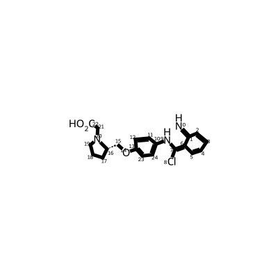 N=C1C=CC=C/C1=C(\Cl)Nc1ccc(OC[C@@H]2CCCN2CC(=O)O)cc1